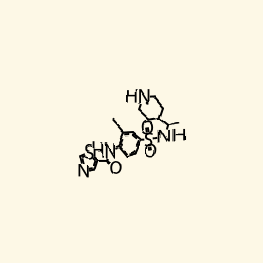 Cc1cc(S(=O)(=O)N[C@H](C)C2CCNCC2)ccc1NC(=O)c1cncs1